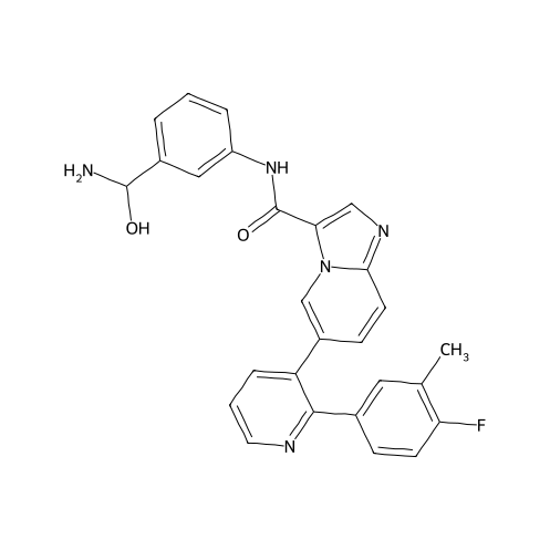 Cc1cc(-c2ncccc2-c2ccc3ncc(C(=O)Nc4cccc(C(N)O)c4)n3c2)ccc1F